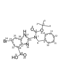 CC(C)(C)OC(=O)N(Cc1ccccc1)c1nc2c(C(=O)O)cc(Br)cc2[nH]1